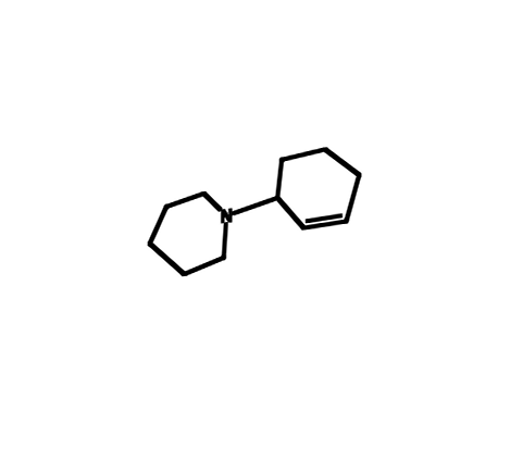 C1=CC(N2CCCCC2)CCC1